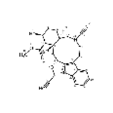 C#CCO[C@@H]1C[C@H]2[C@@H](CC[C@H](O)[C@@H]2C(=O)OC)CN(C#N)CCc2c1[nH]c1ccccc21